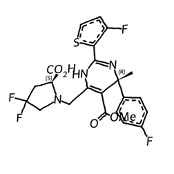 COC(=O)C1=C(CN2CC(F)(F)C[C@H]2C(=O)O)NC(c2sccc2F)=N[C@]1(C)c1ccc(F)cc1